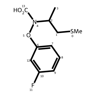 CSCC(C)N(Oc1cccc(F)c1)C(=O)O